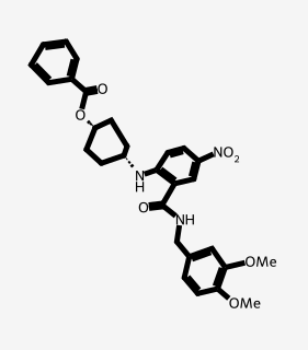 COc1ccc(CNC(=O)c2cc([N+](=O)[O-])ccc2N[C@H]2CC[C@@H](OC(=O)c3ccccc3)CC2)cc1OC